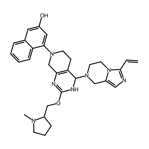 C=Cc1ncc2n1CCN(C1NC(OCC3CCCN3C)=NC3=C1CCN(c1cc(O)cc4ccccc14)C3)C2